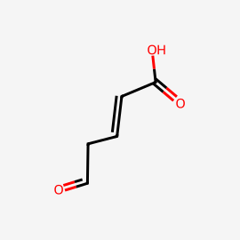 O=CCC=CC(=O)O